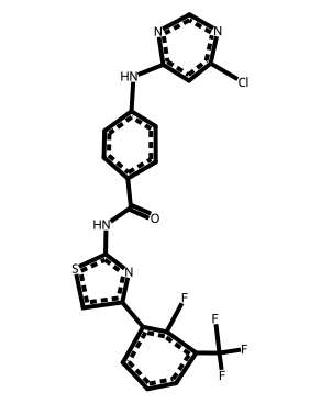 O=C(Nc1nc(-c2cccc(C(F)(F)F)c2F)cs1)c1ccc(Nc2cc(Cl)ncn2)cc1